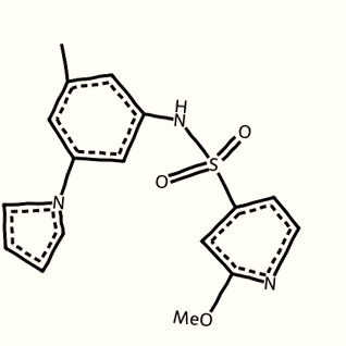 COc1cc(S(=O)(=O)Nc2cc(C)cc(-n3cccc3)c2)ccn1